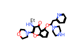 CCNc1c(N2CCOCC2)oc2cccc(OC(Cc3ccccn3)N3CCNCC3)c2c1=O